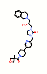 CC1(C(=O)N2CCC(c3ccc(CN4CCN(C[C@H](O)CN5CCc6ccccc6C5)C4=O)nc3)CC2)COC1